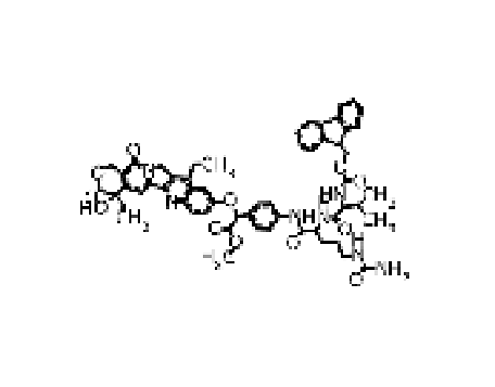 CCc1c2c(nc3ccc(OC(C(=O)OC)c4ccc(NC(=O)C(CCCNC(N)=O)NC(=O)C(NC(=O)OCC5c6ccccc6-c6ccccc65)C(C)C)cc4)cc13)-c1cc3c(c(=O)n1C2)COC(=O)[C@]3(O)CC